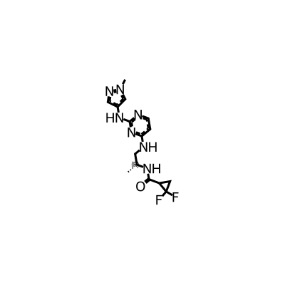 C[C@H](CNc1ccnc(Nc2cnn(C)c2)n1)NC(=O)C1CC1(F)F